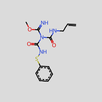 C=CCNC(=O)N(C(=N)OC)C(=O)NSc1ccccc1